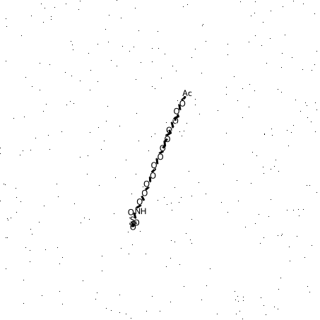 CC(=O)CCOCCOCCOCCOCCOCCOCCOCCOCCOCCOCCOCCOCCNC(=O)CSS(C)(=O)=O